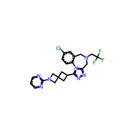 FC(F)(F)CN1Cc2cc(Cl)ccc2-n2c(nnc2C2CC3(C2)CN(c2ncccn2)C3)C1